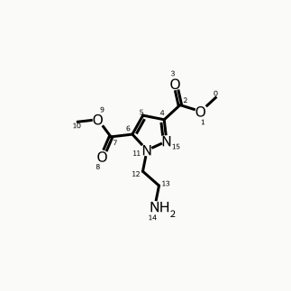 COC(=O)c1cc(C(=O)OC)n(CCN)n1